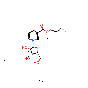 CCCOC(=O)C1=CN([C@@H]2O[C@H](CO)[C@H](O)[C@@H]2O)C=CC1